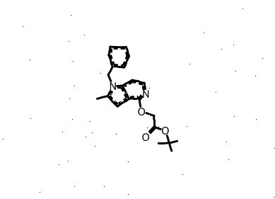 Cc1cc2c(OCC(=O)OC(C)(C)C)nccc2n1Cc1ccccc1